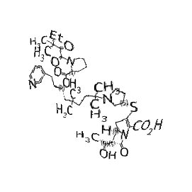 CCC(C)(C)C(=O)C(=O)N1CCCC[C@H]1C(=O)O[C@H](CCc1cccnc1)CC(C)(C)CCC(C)(C)N1CC[C@H](SC2=C(C(=O)O)N3C(=O)[C@H]([C@@H](C)O)[C@H]3C2)C1